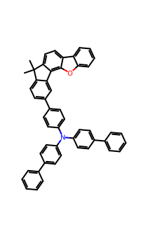 CC1(C)c2ccc(-c3ccc(N(c4ccc(-c5ccccc5)cc4)c4ccc(-c5ccccc5)cc4)cc3)cc2-c2c1ccc1c2oc2ccccc21